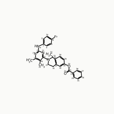 Cc1nc(Nc2ccc(F)cc2)nc(N2CCc3cc(OC(=O)c4ccccc4)ccc3C2C)c1C